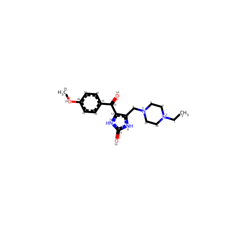 CCN1CCN(Cc2[nH]c(=O)[nH]c2C(=O)c2ccc(OC)cc2)CC1